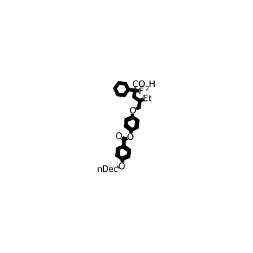 CCCCCCCCCCOc1ccc(C(=O)Oc2ccc(OCC(CC)C[C@@](F)(C(=O)O)C3CCCCC3)cc2)cc1